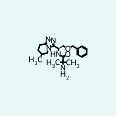 CC1CCc2nnc([C@@H](COCc3ccccc3)NC(=O)C(C)(C)N)n2C1